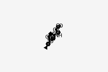 C[C@H](NC(=O)c1ccno1)[C@H](Oc1ccc(C(=O)N[C@H]2CCCN(C(=O)[C@H]3COC(=O)C3)C2)nc1)c1ccc(C2CC2)cc1